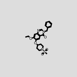 CCOc1cc2ncn(Cc3ccccc3)c(=O)c2cc1OC1CCN(S(C)(=O)=O)CC1